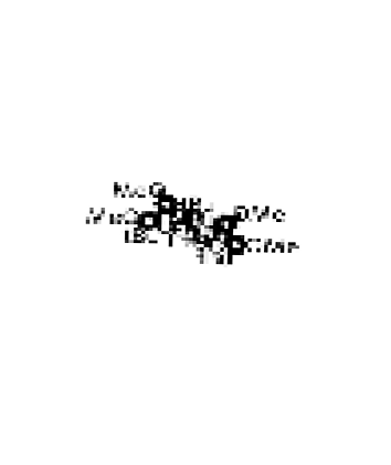 CC[C@H](C[C@@H](CC)Op1oc2c(C(C)(C)C)cc(OC)cc2c2cc(OC)cc(C(C)(C)C)c2o1)Op1oc2c(C(C)(C)C)cc(OC)cc2c2cc(OC)cc(C(C)(C)C)c2o1